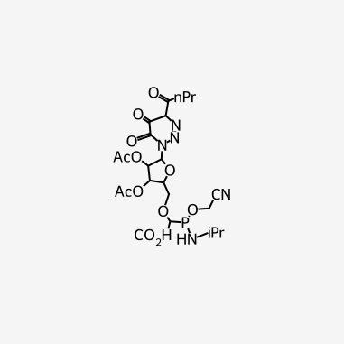 CCCC(=O)C1N=NN(C2OC(COC(C(=O)O)P(NC(C)C)OCC#N)C(OC(C)=O)C2OC(C)=O)C(=O)C1=O